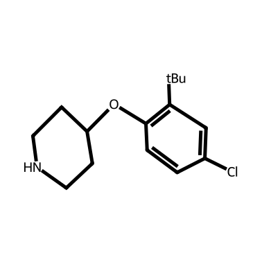 CC(C)(C)c1cc(Cl)ccc1OC1CCNCC1